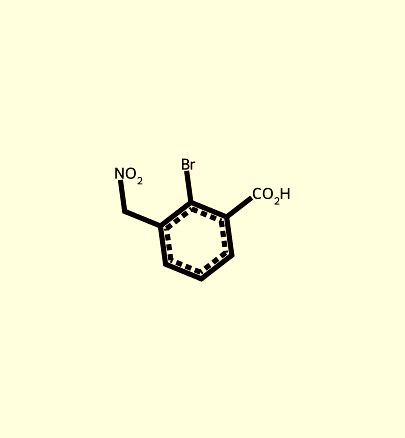 O=C(O)c1cccc(C[N+](=O)[O-])c1Br